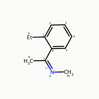 CCc1ccccc1/C(C)=N\C